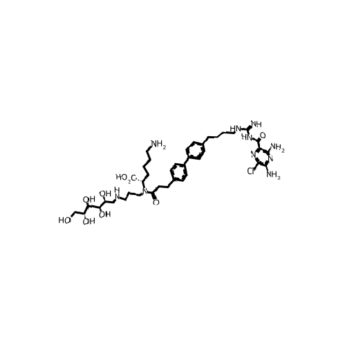 N=C(NCCCCc1ccc(-c2ccc(CCC(=O)N(CCCNC[C@H](O)[C@@H](O)[C@H](O)[C@H](O)CO)[C@@H](CCCCN)C(=O)O)cc2)cc1)NC(=O)c1nc(Cl)c(N)nc1N